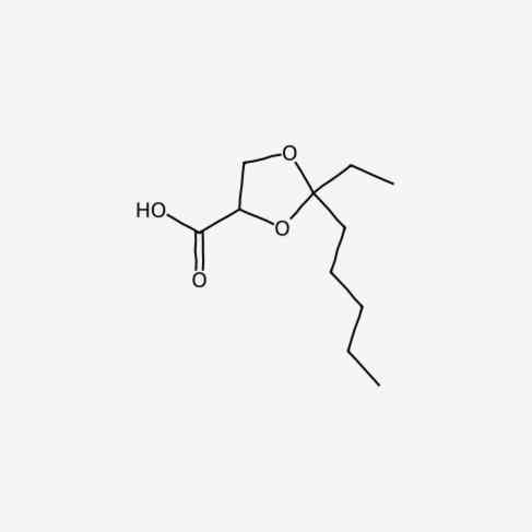 CCCCCC1(CC)OCC(C(=O)O)O1